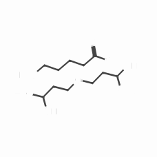 CC(C)CCOCCC(C)C.CCCCCC(C)=O